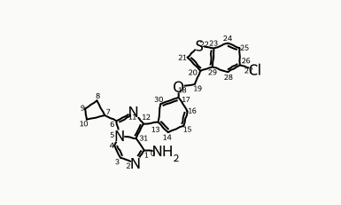 Nc1nccn2c(C3CCC3)nc(-c3cccc(OCc4csc5ccc(Cl)cc45)c3)c12